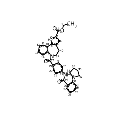 CCOC(=O)c1cc2c(s1)-c1ccccc1N(C(=O)c1ccc(NC(=O)c3cccnc3N3CCCC3)cc1)CC2